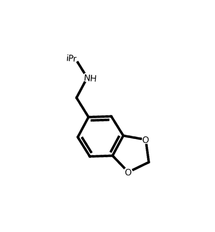 CC(C)NCc1ccc2c(c1)OCO2